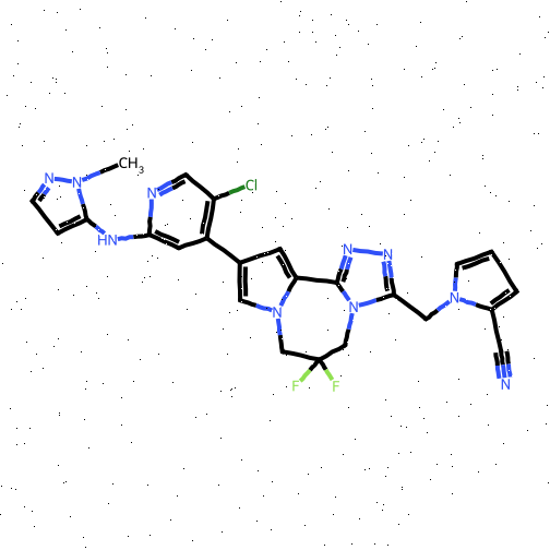 Cn1nccc1Nc1cc(-c2cc3n(c2)CC(F)(F)Cn2c(Cn4cccc4C#N)nnc2-3)c(Cl)cn1